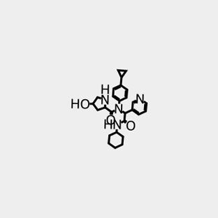 O=C(NC1CCCCC1)C(c1cccnc1)N(C(=O)C1CC(O)CN1)c1ccc(C2CC2)cc1